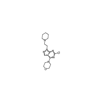 Clc1nc(N2CCOCC2)c2cnn(CCN3CCCCC3)c2n1